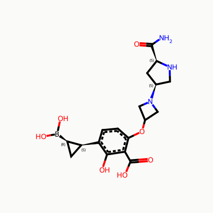 NC(=O)[C@@H]1C[C@H](N2CC(Oc3ccc([C@H]4C[C@H]4B(O)O)c(O)c3C(=O)O)C2)CN1